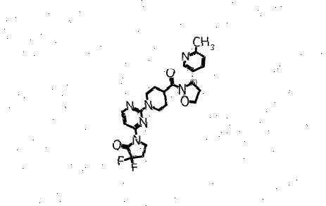 Cc1ccc([C@@H]2CCON2C(=O)C2CCN(c3nccc(N4CCC(F)(F)C4=O)n3)CC2)cn1